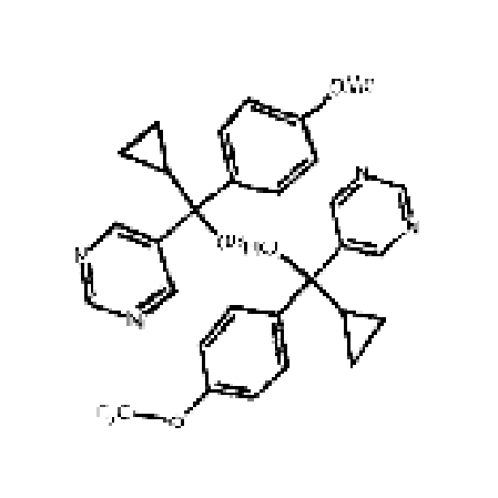 COc1ccc(C(O)(c2cncnc2)C2CC2)cc1.OC(c1ccc(OC(F)(F)F)cc1)(c1cncnc1)C1CC1